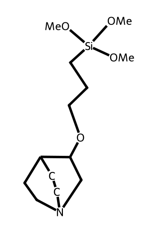 CO[Si](CCCOC1CN2CCC1CC2)(OC)OC